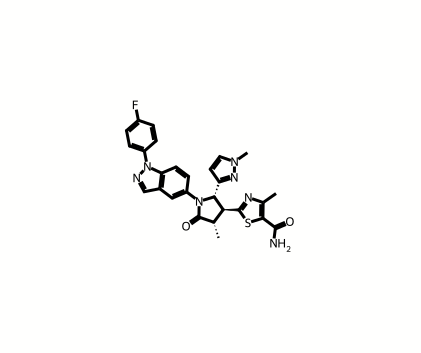 Cc1nc([C@H]2[C@H](C)C(=O)N(c3ccc4c(cnn4-c4ccc(F)cc4)c3)[C@@H]2c2ccn(C)n2)sc1C(N)=O